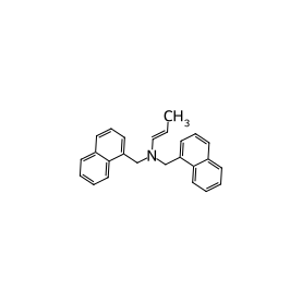 CC=CN(Cc1cccc2ccccc12)Cc1cccc2ccccc12